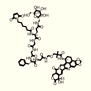 CC[C@@]1(O)C(=O)OCc2c1cc1n(c2=O)Cc2c-1nc1cc3c(c4c1c2[C@@H](NC(=O)C(C)(C)COCNC(=O)CNC(=O)[C@H](Cc1ccccc1)NC(=O)CNC(=O)CNC(=O)[C@H](CCC(=O)NC[C@@H]1O[C@H](CO)[C@@H](O)[C@H](O)[C@H]1O)NC(=O)CCCCCN1C(=O)C=CC1=O)CC4)OCO3